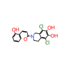 O=C(/C=C\c1ccccc1O)N1CCc2c(Cl)c(O)c(O)c(Cl)c2C1